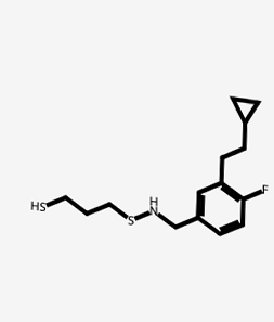 Fc1ccc(CNSCCCS)cc1CCC1CC1